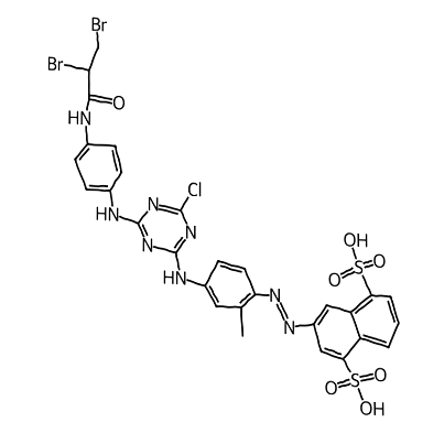 Cc1cc(Nc2nc(Cl)nc(Nc3ccc(NC(=O)C(Br)CBr)cc3)n2)ccc1N=Nc1cc(S(=O)(=O)O)c2cccc(S(=O)(=O)O)c2c1